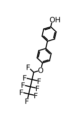 Oc1ccc(-c2ccc(OC(F)C(F)(F)C(F)(F)C(F)(F)F)cc2)cc1